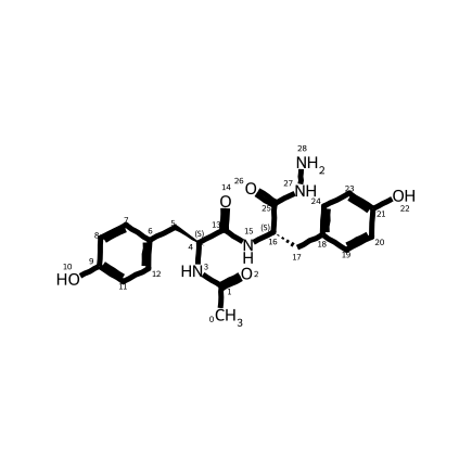 CC(=O)N[C@@H](Cc1ccc(O)cc1)C(=O)N[C@@H](Cc1ccc(O)cc1)C(=O)NN